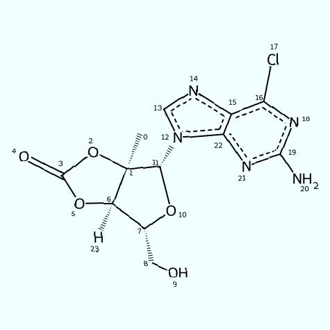 C[C@@]12OC(=O)O[C@@H]1[C@@H](CO)O[C@H]2n1cnc2c(Cl)nc(N)nc21